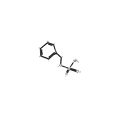 O=S(=O)([SiH3])OCc1ccccc1